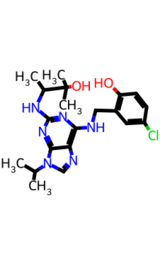 CC(C)n1cnc2c(NCc3cc(Cl)ccc3O)nc(NC(C)C(C)(C)O)nc21